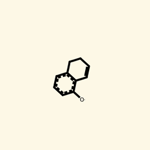 [O]c1cccc2c1C=CCC2